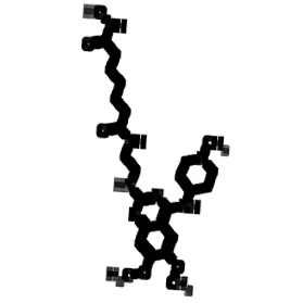 COc1cc2nc(NCCNC(=O)CCCCCC(=O)NO)nc(NC3CCN(C)CC3)c2cc1OC